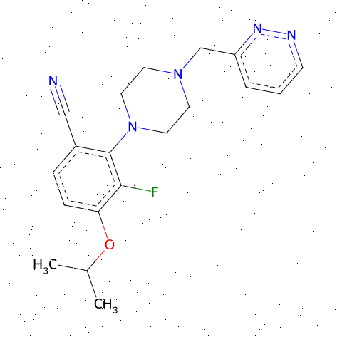 CC(C)Oc1ccc(C#N)c(N2CCN(Cc3cccnn3)CC2)c1F